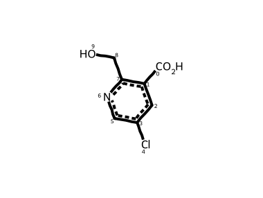 O=C(O)c1cc(Cl)cnc1CO